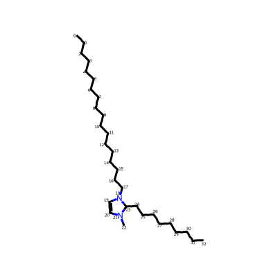 CCCCCCCCCCCCCCCCCCN1C=CN(C)C1CCCCCCCCC